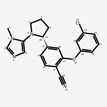 Cn1cncc1N1CCC[C@@H]1c1ccc(C#N)c(Oc2cccc(Cl)c2)c1